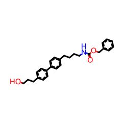 O=C(NCCCCc1ccc(-c2ccc(CCCO)cc2)cc1)OCc1ccccc1